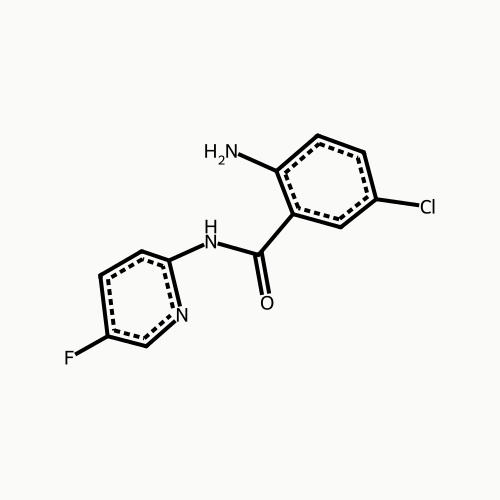 Nc1ccc(Cl)cc1C(=O)Nc1ccc(F)cn1